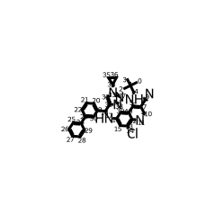 CC(C)(C)CNc1c(C#N)cnc2c(Cl)cc(NC(c3cccc(-c4ccccc4)c3)c3cn(C4CC4)nn3)cc12